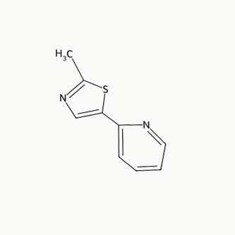 Cc1ncc(-c2ccccn2)s1